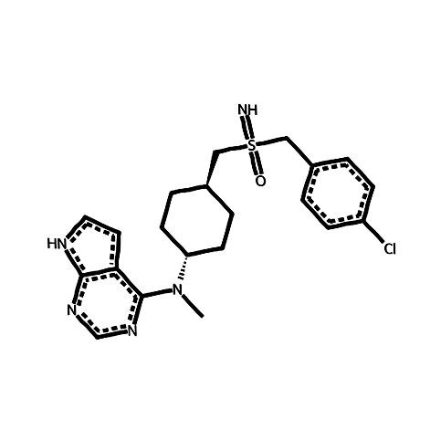 CN(c1ncnc2[nH]ccc12)[C@H]1CC[C@H](CS(=N)(=O)Cc2ccc(Cl)cc2)CC1